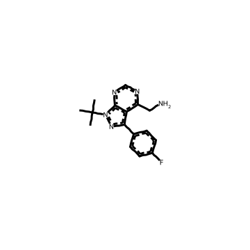 CC(C)(C)n1nc(-c2ccc(F)cc2)c2c(CN)ncnc21